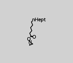 CCCCCCCCCCCCC(=O)ON1CC1